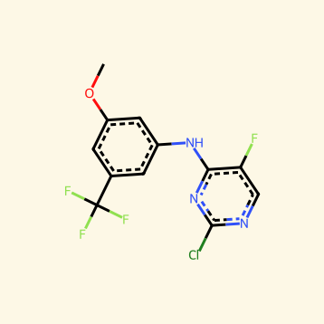 COc1cc(Nc2nc(Cl)ncc2F)cc(C(F)(F)F)c1